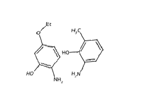 CCOc1ccc(N)c(O)c1.Cc1cccc(N)c1O